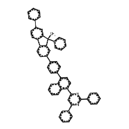 CC1(c2ccccc2)c2cc(-c3ccccc3)ccc2-c2ccc(-c3ccc(-c4ccc(-c5cc(-c6ccccc6)nc(-c6ccccc6)n5)c5ccccc45)cc3)cc21